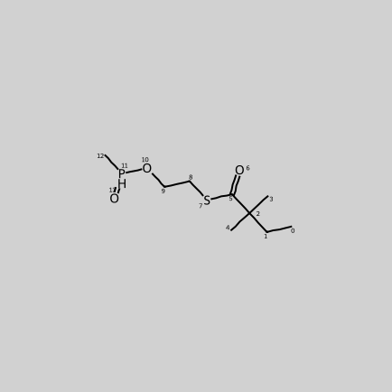 CCC(C)(C)C(=O)SCCO[PH](C)=O